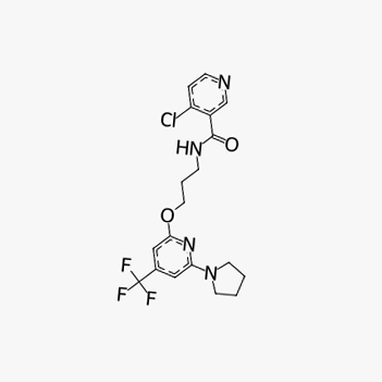 O=C(NCCCOc1cc(C(F)(F)F)cc(N2CCCC2)n1)c1cnccc1Cl